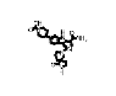 CC(=O)N1CCC(c2ccc3c(c2)[nH]c2c(C(N)=O)cnc(N4CCCC5(CCNC5=O)C4)c23)CC1